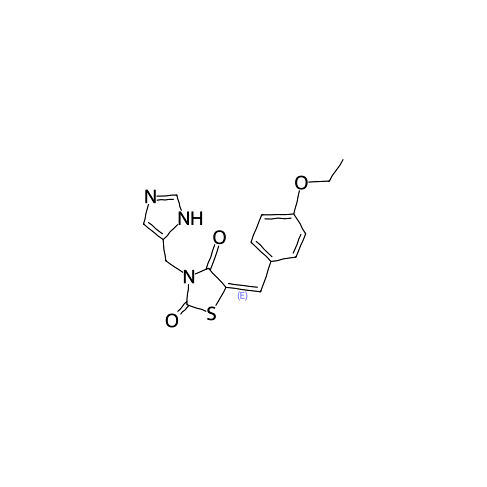 CCOc1ccc(/C=C2/SC(=O)N(Cc3cnc[nH]3)C2=O)cc1